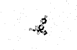 CC(C)CNC(=O)C1(CN2CCC2)CCN(c2ccc(Br)cn2)CC1